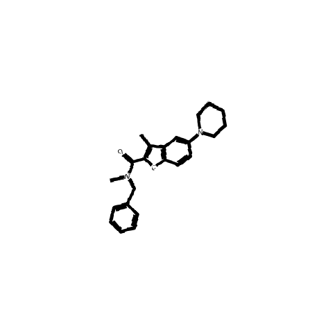 Cc1c(C(=O)N(C)Cc2ccccc2)oc2ccc(N3CCCCC3)cc12